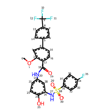 COc1cc(-c2ccc(C(F)(F)F)cc2)ccc1C(=O)Nc1ccc(O)c(NS(=O)(=O)c2ccc(F)cc2)c1